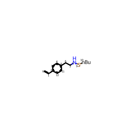 C=Cc1ccc(CCNSCCCC)cc1